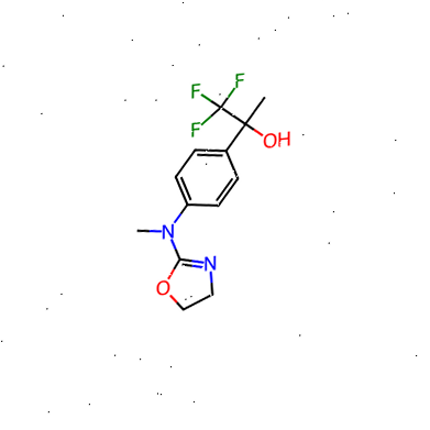 CN(C1=NCCO1)c1ccc(C(C)(O)C(F)(F)F)cc1